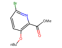 CCCCOc1ccc(Br)nc1C(=O)OC